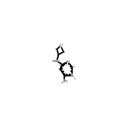 CC(C)c1cc(NC2COC2)ncn1